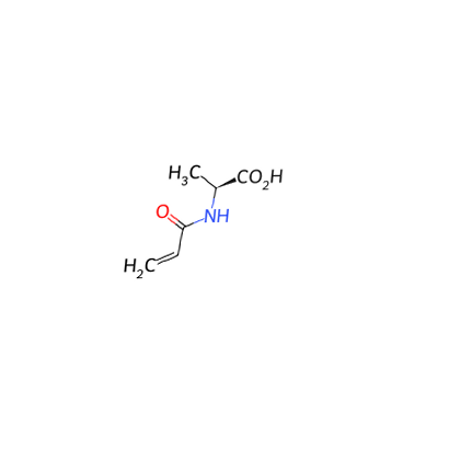 C=CC(=O)N[C@@H](C)C(=O)O